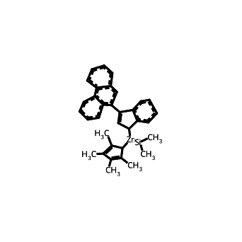 CC1=C(C)[CH]([Zr]([CH]2C=C(c3cc4ccccc4c4ccccc34)c3ccccc32)=[Si](C)C)C(C)=C1C